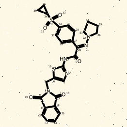 O=C(Nc1ncc(CN2C(=O)c3ccccc3C2=O)s1)/C(=N/N1CCCC1)c1ccc(S(=O)(=O)C2CC2)cc1